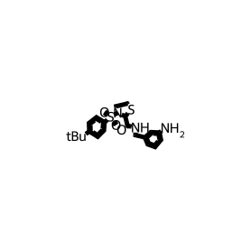 CC(C)(C)c1ccc(S(=O)(=O)N2CCSC2C(=O)NCc2cccc(N)c2)cc1